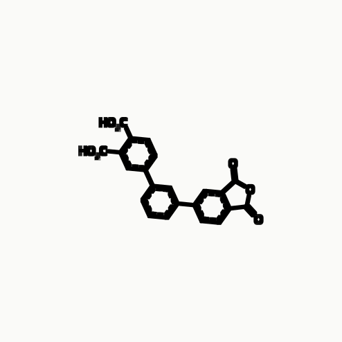 O=C(O)c1ccc(-c2cccc(-c3ccc4c(c3)C(=O)OC4=O)c2)cc1C(=O)O